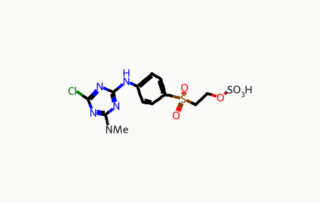 CNc1nc(Cl)nc(Nc2ccc(S(=O)(=O)CCOS(=O)(=O)O)cc2)n1